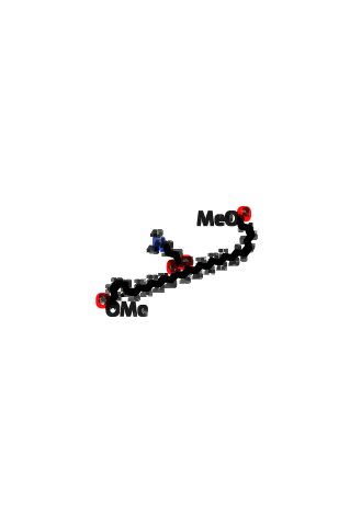 COC(=O)C/C=C\C/C=C\CCCCCCCCC(CCCCCCCC/C=C\C/C=C\CC(=O)OC)OC(=O)CCCN(C)C